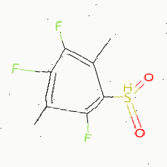 Cc1c(F)c(F)c(C)c([SH](=O)=O)c1F